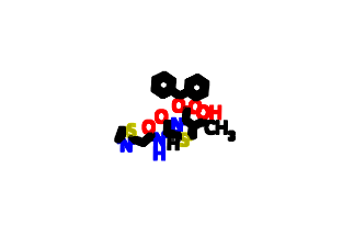 CC(O)C1=CS[C@@H]2C(NC(=O)Cc3nccs3)C(=O)N2C1C(=O)OC(c1ccccc1)c1ccccc1